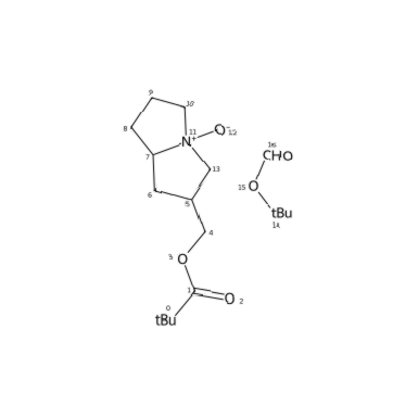 CC(C)(C)C(=O)OCC1CC2CCC[N+]2([O-])C1.CC(C)(C)OC=O